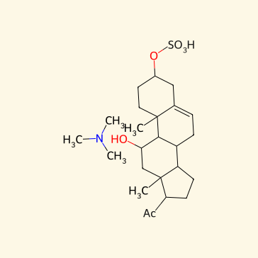 CC(=O)C1CCC2C3CC=C4CC(OS(=O)(=O)O)CCC4(C)C3C(O)CC12C.CN(C)C